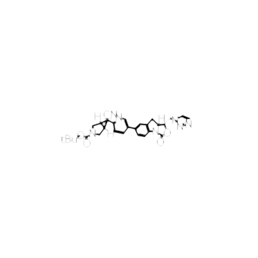 CC(C)(C)OC(=O)N1C[C@@H]2[C@H](C1)[C@@]2(C#N)c1ccc(-c2ccc3c(c2)C[C@H]2[C@H](Cn4ccnn4)OC(=O)N32)cn1